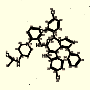 CC(=O)NC1CCN(c2ccccc2NC(=O)c2[nH]c3cc(Cl)ccc3c2-c2c(-c3ccccc3)ncn2[C@@H](C)c2ccc(Cl)cc2Cl)CC1